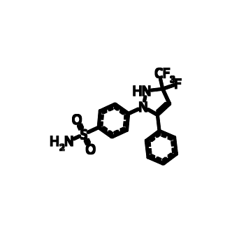 NS(=O)(=O)c1ccc(N2NC(F)(C(F)(F)F)C=C2c2ccccc2)cc1